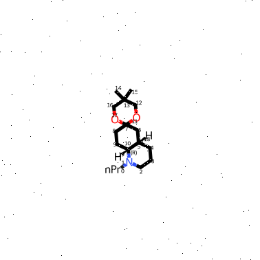 CCCN1CCC[C@H]2CC3(CC[C@H]21)OCC(C)(C)CO3